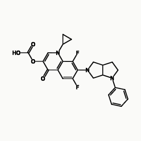 O=C(O)Oc1cn(C2CC2)c2c(F)c(N3CC4CCN(c5ccccc5)C4C3)c(F)cc2c1=O